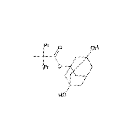 CC(C)C(C)(C(=O)OC12CC3CC(O)(CC(O)(C3)C1)C2)C(C)C